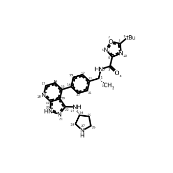 C[C@@H](NC(=O)c1noc(C(C)(C)C)n1)c1ccc(-c2ccnc3[nH]nc(N[C@@H]4CCNC4)c23)cc1